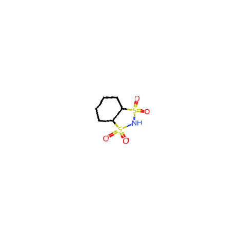 O=S1(=O)NS(=O)(=O)C2CCCCC21